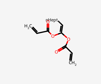 C=CC(=O)OC(=CCCCCCCC)OC(=O)C=C